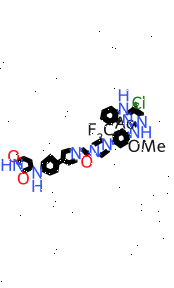 COc1cc(N2CCN(C(=O)CN3CCC(c4ccc(NC5CCC(=O)NC5=O)cc4)CC3)CC2)c(C(F)(F)F)cc1Nc1ncc(Cl)c(Nc2ccccc2C(C)=O)n1